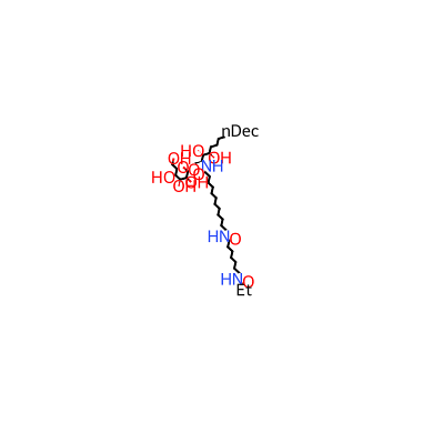 CCCCCCCCCCCCCC[C@@H](O)[C@@H](O)[C@H](CO[C@H]1OC(CO)[C@H](O)[C@H](O)C1O)NC(=O)CCCCCCCCCCCNC(=O)CCCCCCNC(=O)CC